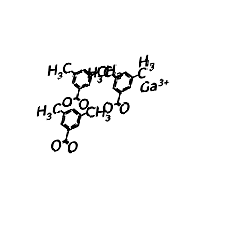 Cc1cc(C)cc(C(=O)[O-])c1.Cc1cc(C)cc(C(=O)[O-])c1.Cc1cc(C)cc(C(=O)[O-])c1.[Ga+3]